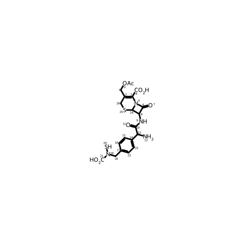 CC(=O)OCC1=C(C(=O)O)N2C(=O)C(NC(=O)C(N)c3ccc(CN(S)C(=O)O)cc3)C2SC1